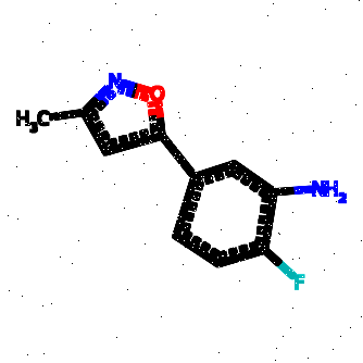 Cc1cc(-c2ccc(F)c(N)c2)on1